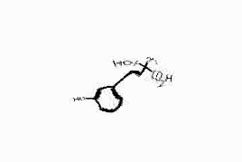 CC(C=Cc1cccc(O)c1)(C(=O)O)C(=O)O